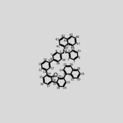 c1ccc(N(c2ccc(-c3cccc(-c4cccc5c4oc4c(-c6cccc7ccccc67)cccc45)c3)cc2)c2cccc3ccccc23)cc1